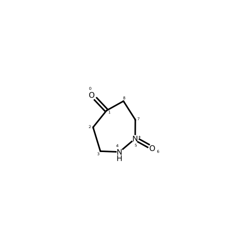 O=C1CCN[N+](=O)CC1